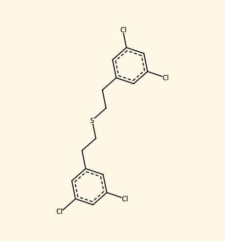 Clc1cc(Cl)cc(CCSCCc2cc(Cl)cc(Cl)c2)c1